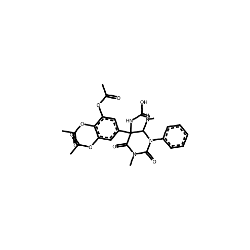 CNC1N(c2ccccc2)C(=O)N(C)C(=O)C1(NC(=O)O)c1cc(OC(C)=O)c(OC(C)=O)c(OC(C)=O)c1